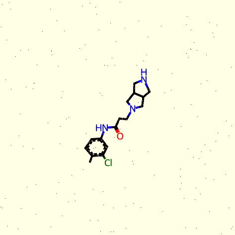 Cc1ccc(NC(=O)CCN2CC3CNCC3C2)cc1Cl